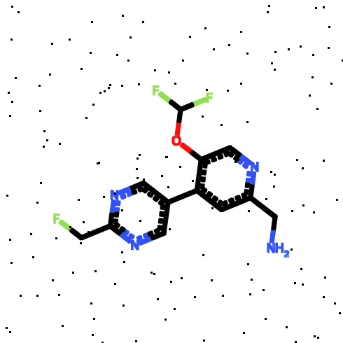 NCc1cc(-c2cnc(CF)nc2)c(OC(F)F)cn1